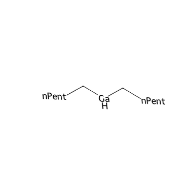 CCCCC[CH2][GaH][CH2]CCCCC